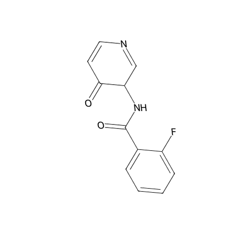 O=C(NC1C=NC=CC1=O)c1ccccc1F